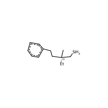 CC[C@](C)(C[SiH3])CCc1ccccc1